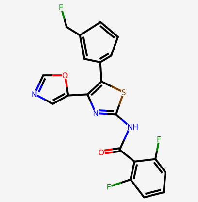 O=C(Nc1nc(-c2cnco2)c(-c2cccc(CF)c2)s1)c1c(F)cccc1F